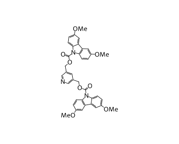 COc1ccc2c(c1)c1cc(OC)ccc1n2C(=O)OCc1cncc(COC(=O)n2c3ccc(OC)cc3c3cc(OC)ccc32)c1